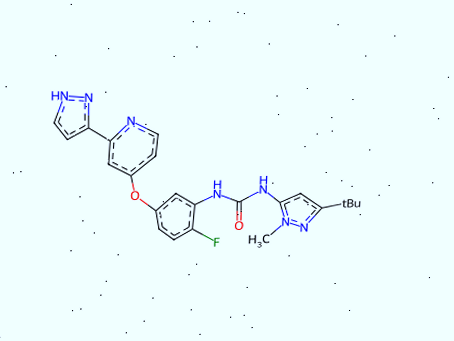 Cn1nc(C(C)(C)C)cc1NC(=O)Nc1cc(Oc2ccnc(-c3cc[nH]n3)c2)ccc1F